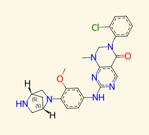 COc1cc(Nc2ncc3c(n2)N(C)CN(c2ccccc2Cl)C3=O)ccc1N1C[C@@H]2C[C@H]1CN2